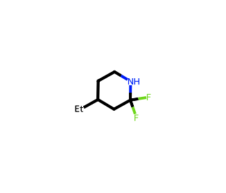 CCC1CCNC(F)(F)C1